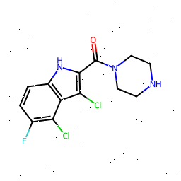 O=C(c1[nH]c2ccc(F)c(Cl)c2c1Cl)N1CCNCC1